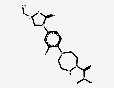 CN(C)C(=O)N1CCN(c2ccc(N3C[C@H](CN)OC3=O)cc2F)CCN1